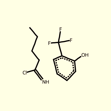 CCCCC(=N)Cl.Oc1ccccc1C(F)(F)F